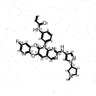 C=CC(=O)Nc1cccc(-n2c(=O)c(Oc3ccc(F)cn3)cc3cnc(Nc4cnn(C5CCN(C)C5)c4)nc32)c1